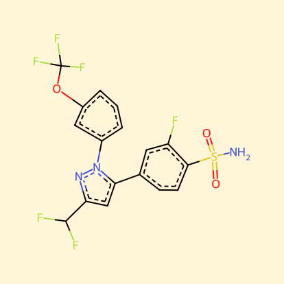 NS(=O)(=O)c1ccc(-c2cc(C(F)F)nn2-c2cccc(OC(F)(F)F)c2)cc1F